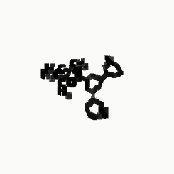 CC1(C)OB(c2cc(-c3cccnc3)cc(-c3cccnc3)c2)OC1(C)C